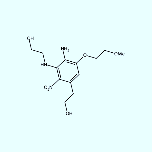 COCCOc1cc(CCO)c([N+](=O)[O-])c(NCCO)c1N